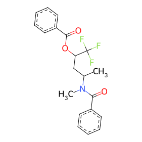 CC(CC(OC(=O)c1ccccc1)C(F)(F)F)N(C)C(=O)c1ccccc1